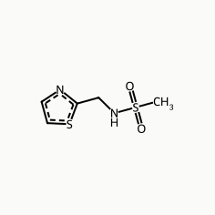 CS(=O)(=O)NCc1nccs1